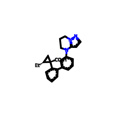 CC[C@@H]1C[C@]1(C(=O)O)c1ccccc1-c1cccc(N2CCCn3nccc32)c1